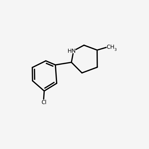 CC1CCC(c2cccc(Cl)c2)NC1